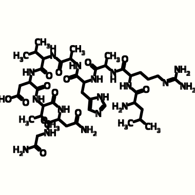 CC(C)CC(N)C(=O)NC(CCCN=C(N)N)C(=O)NC(C)C(=O)NC(Cc1cnc[nH]1)C(=O)NC(C)C(=O)NC(C(=O)NC(CC(=O)O)C(=O)NC(C(=O)NC(CC(N)=O)C(=O)NCC(N)=O)C(C)C)C(C)C